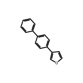 c1ccc(-c2ccc(-c3ccoc3)cc2)cc1